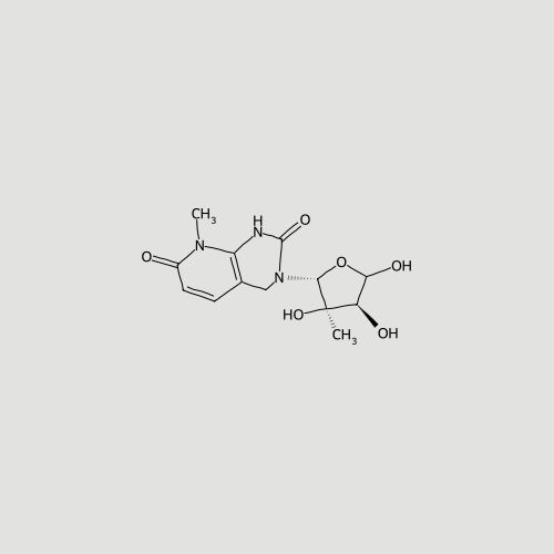 Cn1c2c(ccc1=O)CN([C@@H]1OC(O)[C@@H](O)[C@@]1(C)O)C(=O)N2